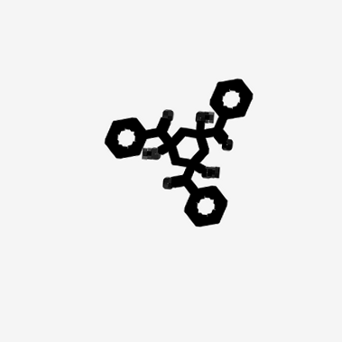 O=C(c1ccccc1)C1(O)CC(O)(C(=O)c2ccccc2)CC(O)(C(=O)c2ccccc2)C1